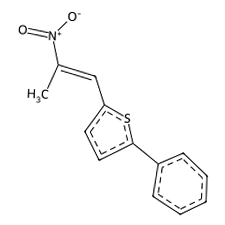 C/C(=C\c1ccc(-c2ccccc2)s1)[N+](=O)[O-]